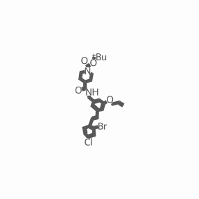 C=CCOc1cc(/C=C/c2ccc(Cl)cc2Br)cc(CNC(=O)C2CCN(C(=O)OC(C)(C)C)CC2)c1